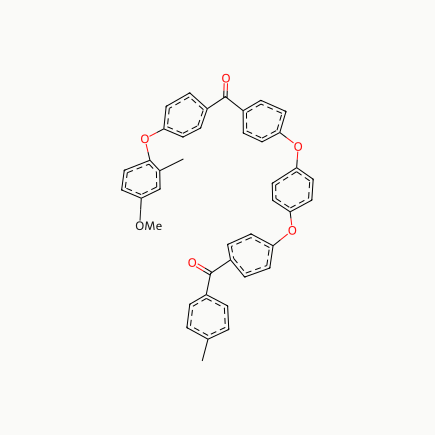 COc1ccc(Oc2ccc(C(=O)c3ccc(Oc4ccc(Oc5ccc(C(=O)c6ccc(C)cc6)cc5)cc4)cc3)cc2)c(C)c1